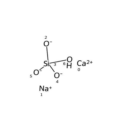 [Ca+2].[Na+].[O-][Si]([O-])([O-])O